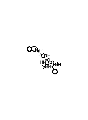 CNC(=O)[C@@H](NC(=O)[C@@H](NC(=O)[C@@H]1C[C@H](OC(=O)N2CCc3ccccc3C2)CN1)C(C)(C)C)C1CCCCC1